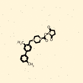 Cc1cccc(-c2ccc(CN3CCN(C(=O)ON4C(=O)CCC4=O)CC3)c(C)c2)c1